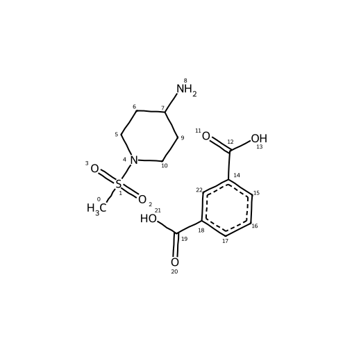 CS(=O)(=O)N1CCC(N)CC1.O=C(O)c1cccc(C(=O)O)c1